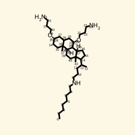 CCCCCCCCNCCCC(C)C1CC[C@H]2C3[C@H](OCCCN)CC4C[C@H](OCCCN)CCC4(C)[C@H]3CCC12C